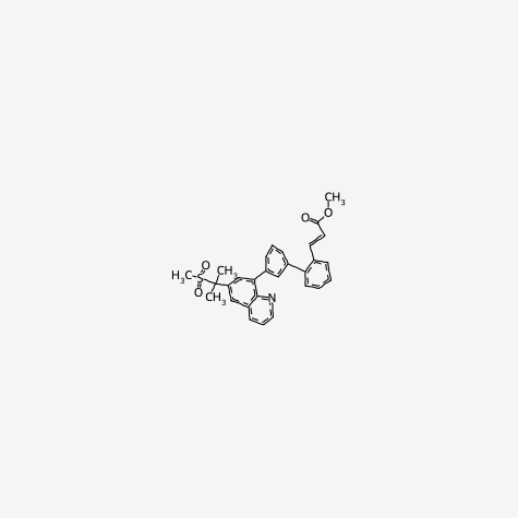 COC(=O)/C=C/c1ccccc1-c1cccc(-c2cc(C(C)(C)S(C)(=O)=O)cc3cccnc23)c1